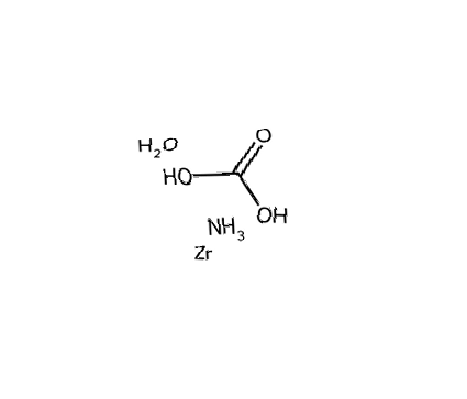 N.O.O=C(O)O.[Zr]